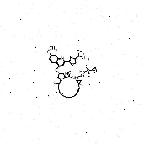 COc1ccc2c(O[C@@H]3C[C@H]4C(=O)N[C@]5(CONS(=O)(=O)C6CC6)C[C@H]5/C=C\CCCCCCC(=O)N4C3)cc(-c3nc(C(C)C)cs3)nc2c1